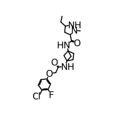 CCC1CC(C(=O)NC23CCC(NC(=O)COc4ccc(Cl)c(F)c4)(C2)C3)N(C)N1